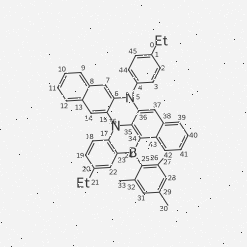 CCc1ccc(N2c3cc4ccccc4cc3N3c4ccc(CC)cc4B(c4c(C)cc(C)cc4C)c4c3c2cc2ccccc42)cc1